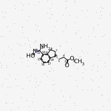 COC(=O)CC[C@H]1CCc2c(/C(N)=N\O)cccc21